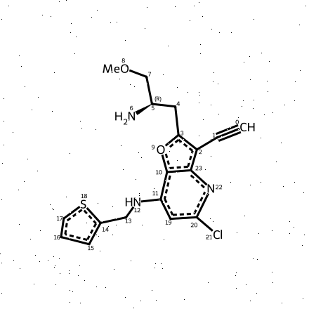 C#Cc1c(C[C@@H](N)COC)oc2c(NCc3cccs3)cc(Cl)nc12